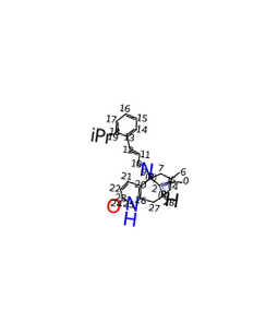 C/C=C1\[C@H]2C=C(C)C[C@]1(N=CC=Cc1ccccc1C(C)C)c1ccc(=O)[nH]c1C2